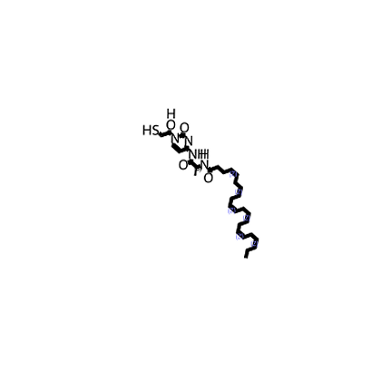 CC/C=C\C/C=C\C/C=C\C/C=C\C/C=C\C/C=C\CCC(=O)N[C@@H](C)C(=O)Nc1ccn(C(O)CS)c(=O)n1